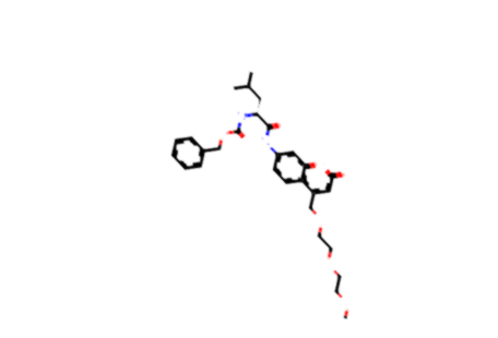 COCCOCCOCc1cc(=O)oc2cc(NC(=O)[C@H](CC(C)C)NC(=O)OCc3ccccc3)ccc12